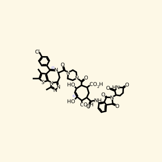 Cc1sc2c(c1C)/C(c1ccc(Cl)cc1)=N\C(C(=O)N1CCN(C(=O)C3C(O)/C=C(/O)C(C(=O)O)C(C(=O)Nc4cccc5c4C(=O)N(C4CCC(=O)NC4=O)C5=O)CC3C(=O)O)CC1)Cc1nnc(C)n1-2